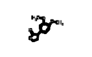 COc1ccc(C2CCOC2=O)cc1OC